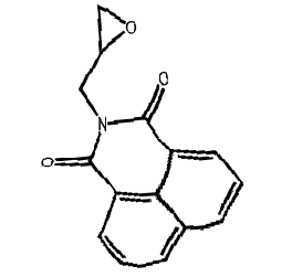 O=C1c2cccc3cccc(c23)C(=O)N1CC1CO1